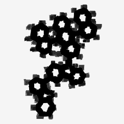 C1=Cc2sc3c(-c4ccc5c(c4)c4ccccc4n5-c4ccc5c(-c6cccc7ccccc67)c6ccccc6c(-c6cccc7ccccc67)c5c4)cccc3c2CC1